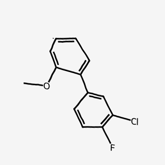 COc1c[c]ccc1-c1ccc(F)c(Cl)c1